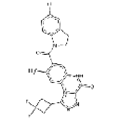 Cc1cc2c(cc1C(=O)N1CCc3cc(Cl)ccc31)[nH]c(=O)c1nnc(C3CC(F)(F)C3)n12